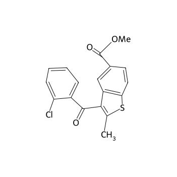 COC(=O)c1ccc2sc(C)c(C(=O)c3ccccc3Cl)c2c1